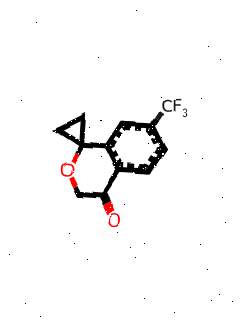 O=C1COC2(CC2)c2cc(C(F)(F)F)ccc21